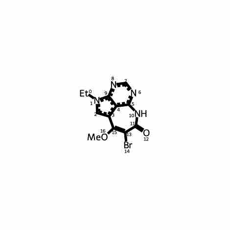 CCn1cc2c3c(ncnc31)NC(=O)C(Br)=C2OC